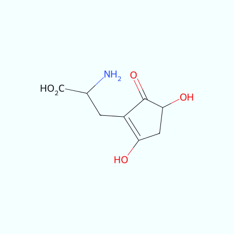 NC(CC1=C(O)CC(O)C1=O)C(=O)O